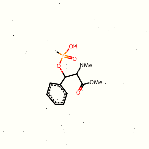 CNC(C(=O)OC)C(OP(C)(=O)O)c1ccccc1